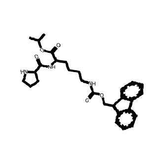 CC(C)OC(=O)C(CCCCNC(=O)OCC1c2ccccc2-c2ccccc21)NC(=O)C1CCCN1